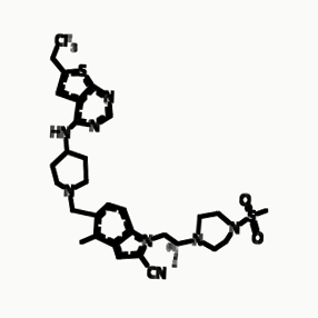 Cc1c(CN2CCC(Nc3ncnc4sc(CC(F)(F)F)cc34)CC2)ccc2c1cc(C#N)n2C[C@@H](C)N1CCN(S(C)(=O)=O)CC1